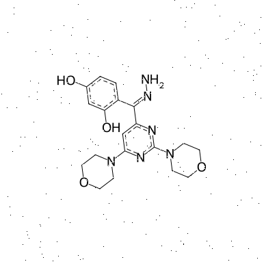 N/N=C(/c1cc(N2CCOCC2)nc(N2CCOCC2)n1)c1ccc(O)cc1O